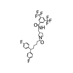 O=C(NCC1CCN(C(=O)CCCCC(c2ccc(F)cc2)c2ccc(F)cc2)C1)c1cc(C(F)(F)F)cc(C(F)(F)F)c1